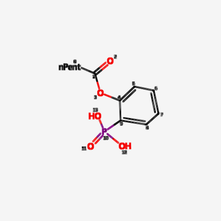 CCCCCC(=O)Oc1ccccc1P(=O)(O)O